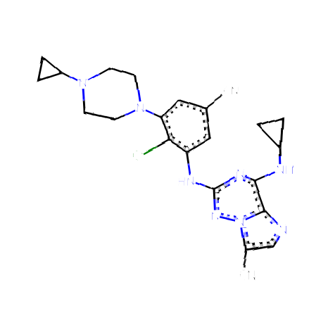 N#Cc1cc(Nc2nc(NC3CC3)c3ncc(C#N)n3n2)c(Cl)c(N2CCN(C3CC3)CC2)c1